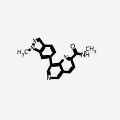 CNC(=O)c1ccc2cncc(-c3ccc4cnn(C)c4c3)c2n1